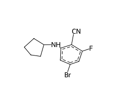 N#Cc1c(F)cc(Br)cc1NC1CCCC1